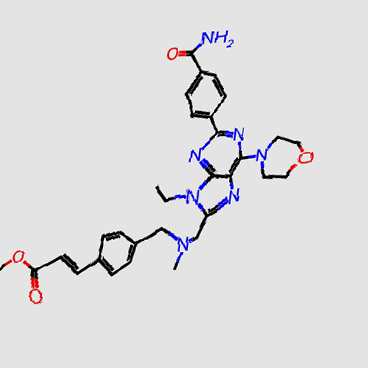 CCn1c(CN(C)Cc2ccc(C=CC(=O)OC)cc2)nc2c(N3CCOCC3)nc(-c3ccc(C(N)=O)cc3)nc21